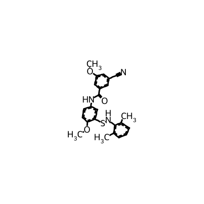 COc1cc(C#N)cc(C(=O)Nc2ccc(OC)c(SNc3c(C)cccc3C)c2)c1